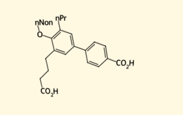 CCCCCCCCCOc1c(CCC)cc(-c2ccc(C(=O)O)cc2)cc1CCCC(=O)O